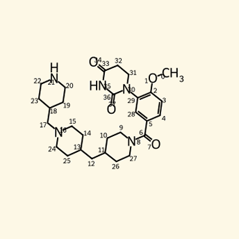 COc1ccc(C(=O)N2CCC(CC3CCN(CC4CCNCC4)CC3)CC2)cc1N1CCC(=O)NC1=O